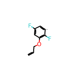 C=CCOc1cc(F)c[c]c1F